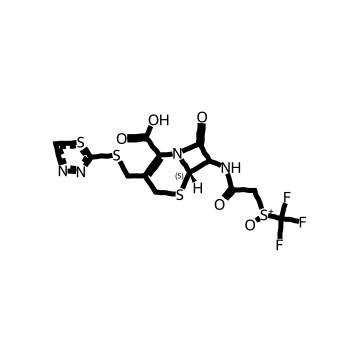 O=C(C[S+]([O-])C(F)(F)F)NC1C(=O)N2C(C(=O)O)=C(CSc3nncs3)CS[C@@H]12